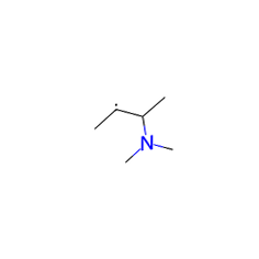 C[CH]C(C)N(C)C